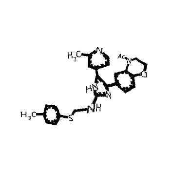 CC(=O)N1CCOc2ccc(-c3nc(NCSc4ccc(C)cc4)[nH]c3-c3ccnc(C)c3)cc21